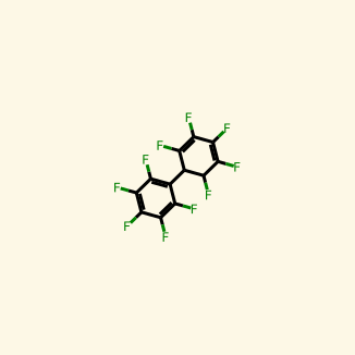 FC1=C(F)C(F)C(c2c(F)c(F)c(F)c(F)c2F)C(F)=C1F